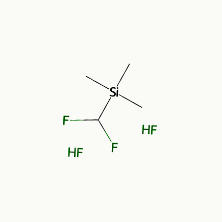 C[Si](C)(C)C(F)F.F.F